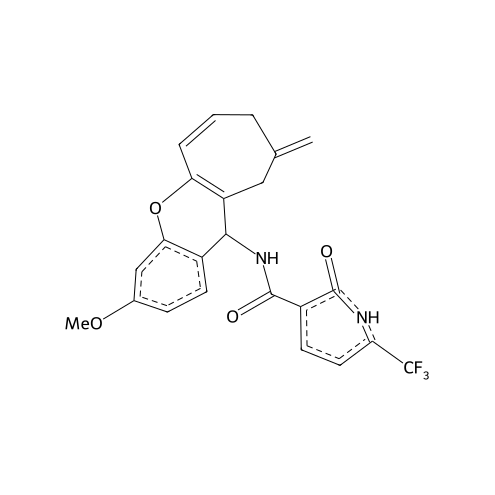 C=C1CC=CC2=C(C1)C(NC(=O)c1ccc(C(F)(F)F)[nH]c1=O)c1ccc(OC)cc1O2